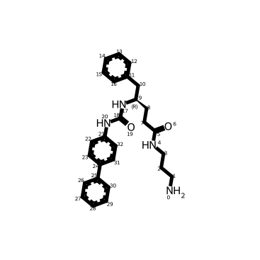 NCCCNC(=O)CC[C@H](Cc1ccccc1)NC(=O)Nc1ccc(-c2ccccc2)cc1